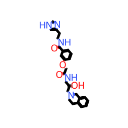 O=C(COc1cccc(C(=O)NCCc2c[nH]cn2)c1)NC[C@@H](O)CN1CCc2ccccc2C1